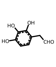 O=CCc1ccc(O)c(O)c1O